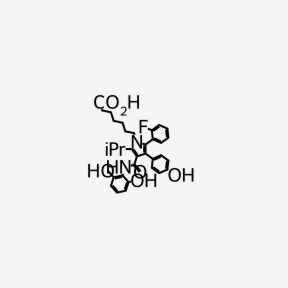 CC(C)c1c(C(=O)Nc2c(O)cccc2O)c(-c2ccc(O)cc2)c(-c2ccccc2F)n1CCCCCCC(=O)O